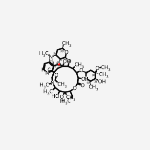 CCOc1ncccc1O[C@H]1[C@H](OC2C(C)C(O[C@H]3C[C@@](C)(OC)[C@@H](O)[C@H](C)O3)C(C)C(=O)OC(CC)C(C)(O)C(O)C(C)N(C)CC(C)CC2(C)O)O[C@H](C)C[C@@H]1NC